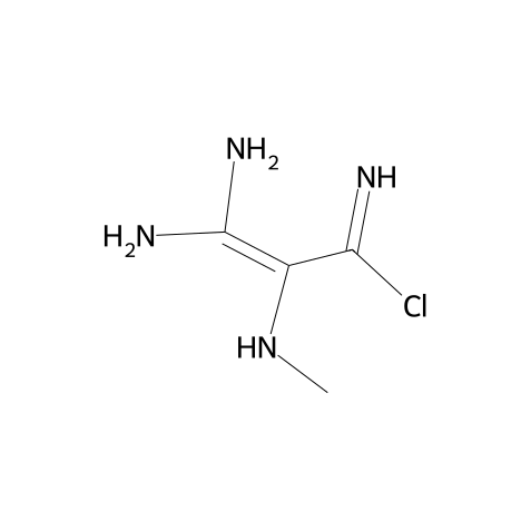 CNC(C(=N)Cl)=C(N)N